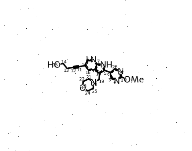 COc1ncc(-c2[nH]c3ncc(C#CCCO)cc3c2CN2CCOCC2)cn1